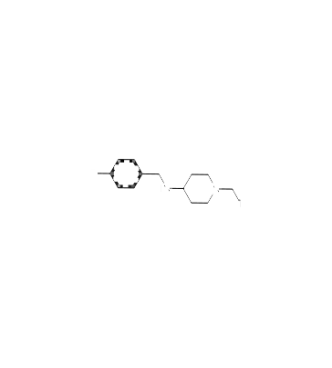 Fc1ccc(CNC2CCN(CI)CC2)cc1